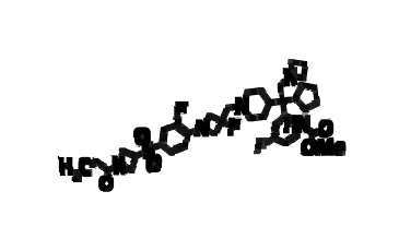 C=CC(=O)N1CC(S(=O)(=O)c2ccc(N3CC(F)(CN4CCC(C(CN5CCC5)(c5cccc(F)c5)[C@H]5CCC[C@@H]5NC(=O)OC)CC4)C3)c(F)c2)C1